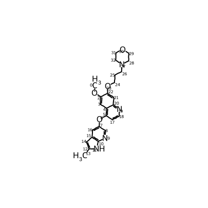 COc1cc2c(Oc3cnc4[nH]c(C)cc4c3)ccnc2cc1OCCCN1CCOCC1